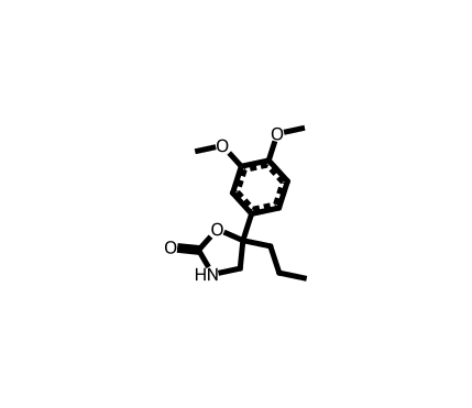 CCCC1(c2ccc(OC)c(OC)c2)CNC(=O)O1